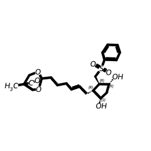 CC12COC(CCCC=CC[C@@H]3[C@@H](CS(=O)(=O)c4ccccc4)[C@H](O)C[C@@H]3O)(OC1)OC2